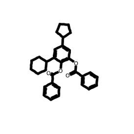 O=C(Oc1cc(C2CCCC2)cc(C2CCCCC2)c1OC(=O)c1ccccc1)c1ccccc1